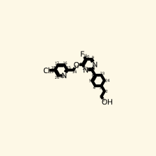 OCCC1CC=C(c2ncc(F)c(OCc3ccc(Cl)cn3)n2)CC1